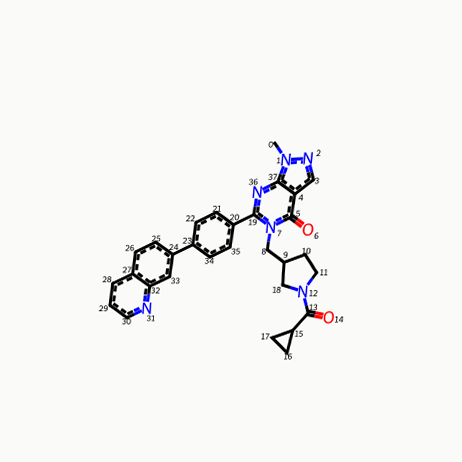 Cn1ncc2c(=O)n(CC3CCN(C(=O)C4CC4)C3)c(-c3ccc(-c4ccc5cccnc5c4)cc3)nc21